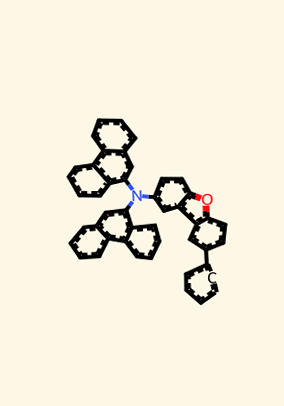 c1ccc(-c2ccc3oc4ccc(N(c5cc6ccccc6c6ccccc56)c5cc6ccccc6c6ccccc56)cc4c3c2)cc1